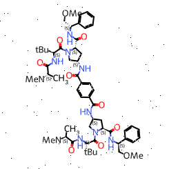 CN[C@@H](C)C(=O)N[C@H](C(=O)N1C[C@@H](NC(=O)c2ccc(C(=O)N[C@H]3C[C@@H](C(=O)N[C@H](COC)c4ccccc4)N(C(=O)[C@@H](NC(=O)[C@H](C)NC)C(C)(C)C)C3)cc2)C[C@H]1C(=O)N[C@H](COC)c1ccccc1)C(C)(C)C